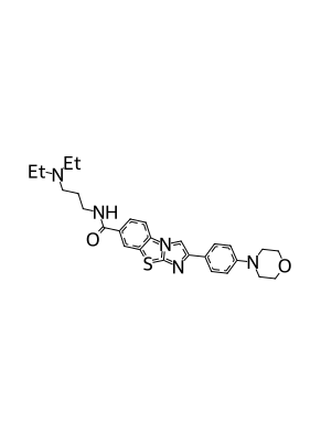 CCN(CC)CCCNC(=O)c1ccc2c(c1)sc1nc(-c3ccc(N4CCOCC4)cc3)cn12